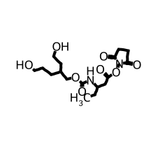 CCC(CC(=O)ON1C(=O)CCC1=O)NC(=O)OCC(CCO)CCCO